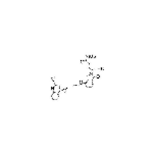 CNC(=O)CCC(C=O)N1Cc2c(OCCCCOc3cc(C4CC4)nc4ccccc34)cccc2C1=O